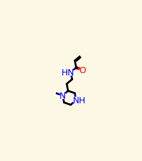 C=CC(=O)NCCC1CNCCN1C